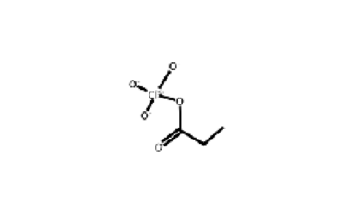 CCC(=O)O[Cl+3]([O-])([O-])[O-]